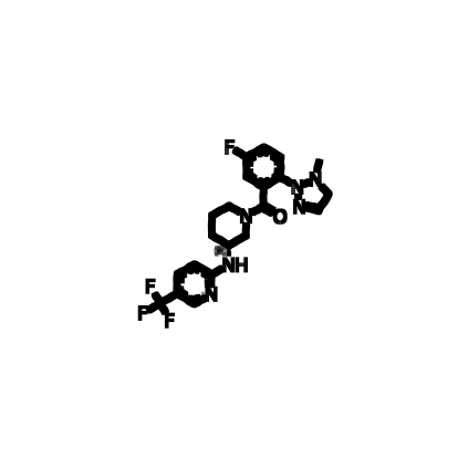 CN1CC=NN1c1ccc(F)cc1C(=O)N1CCC[C@@H](Nc2ccc(C(F)(F)F)cn2)C1